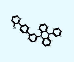 N#Cc1cccnc1-c1ccc(-c2cccc(N3c4ccccc4N(c4ccccc4)c4ccccc43)c2)cc1